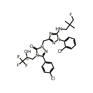 CC(C)(CF)CNc1nc(Cn2nc(-c3ccc(Cl)cc3)n(C[C@H](O)C(F)(F)F)c2=O)nn1-c1ccccc1Cl